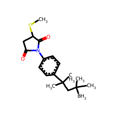 BC(C)(C)CC(C)(C)c1ccc(N2C(=O)CC(SC)C2=O)cc1